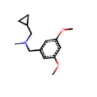 COc1cc(CN(C)CC2CC2)cc(OC)c1